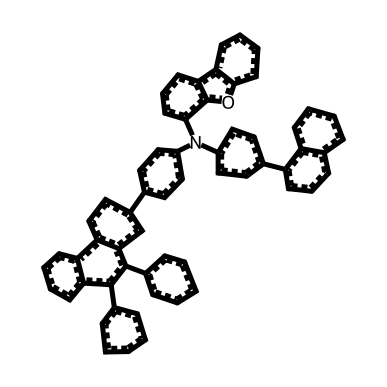 c1ccc(-c2c(-c3ccccc3)c3cc(-c4ccc(N(c5ccc(-c6cccc7ccccc67)cc5)c5cccc6c5oc5ccccc56)cc4)ccc3c3ccccc23)cc1